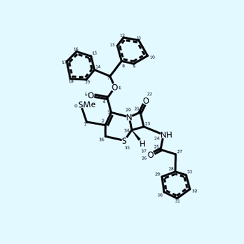 CSCC1=C(C(=O)OC(c2ccccc2)c2ccccc2)N2C(=O)C(NC(=O)Cc3ccccc3)[C@@H]2SC1